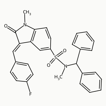 CN1C(=O)/C(=C/c2ccc(F)cc2)c2cc(S(=O)(=O)N(C)C(c3ccccc3)c3ccccc3)ccc21